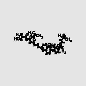 C=C(C)C(=O)OC(CCC[C@H]1CC[C@@]2(C)C(CCC3C2CC[C@@]2(C)C3CC[C@@H]2[C@H](C)CCCC(C)C)C1)CCOC(=O)C(=C)CO